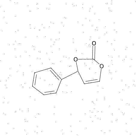 O=C1OC=CC(c2ccccc2)O1